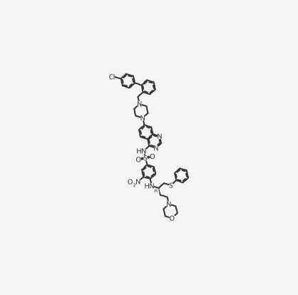 O=[N+]([O-])c1cc(S(=O)(=O)Nc2ncnc3cc(N4CCN(Cc5ccccc5-c5ccc(Cl)cc5)CC4)ccc23)ccc1N[C@H](CCN1CCOCC1)CSc1ccccc1